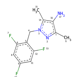 Cc1nn(Cc2c(F)cc(F)cc2F)c(C)c1N